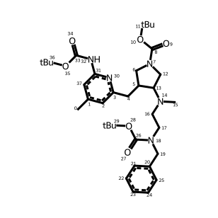 Cc1cc(CC2CN(C(=O)OC(C)(C)C)CC2N(C)CCN(Cc2ccccc2)C(=O)OC(C)(C)C)nc(NC(=O)OC(C)(C)C)c1